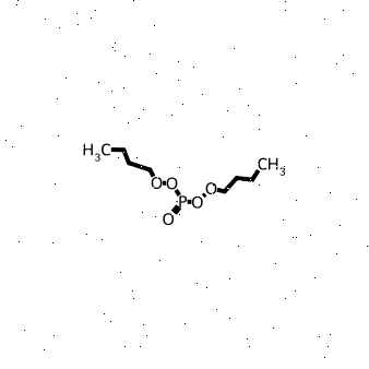 CCCCOO[P](=O)OOCCCC